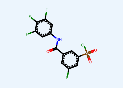 O=C(Nc1cc(F)c(F)c(F)c1)c1cc(F)cc(S(=O)(=O)Cl)c1